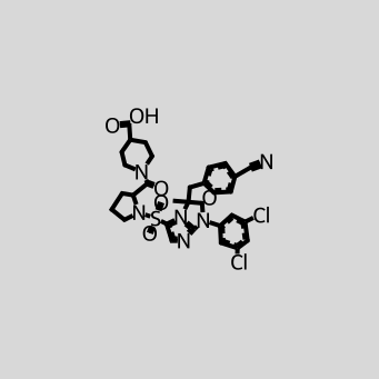 CC1(Cc2ccc(C#N)cc2)C(=O)N(c2cc(Cl)cc(Cl)c2)c2ncc(S(=O)(=O)N3CCCC3C(=O)N3CCC(C(=O)O)CC3)n21